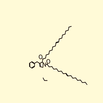 CCC.CCCCCCCCC=CCCCCCCCC(=O)C1C(Cc2ccccc2)=CCN1C(=O)CCCCCCCC=CCCCCCCCC